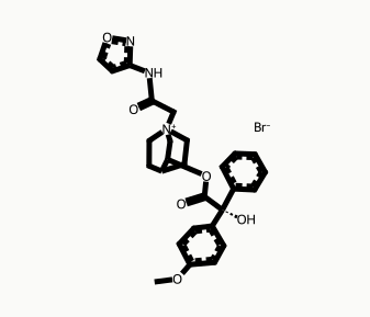 COc1ccc([C@@](O)(C(=O)OC2C[N+]3(CC(=O)Nc4ccon4)CCC2CC3)c2ccccc2)cc1.[Br-]